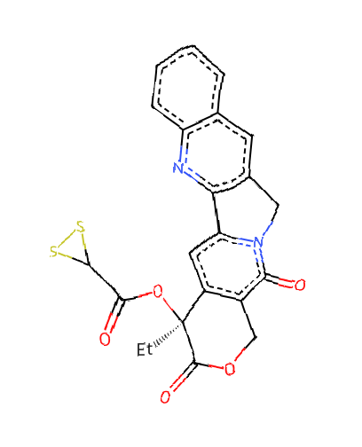 CC[C@@]1(OC(=O)C2SS2)C(=O)OCc2c1cc1n(c2=O)Cc2cc3ccccc3nc2-1